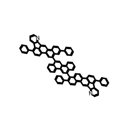 c1ccc(-c2ccc3c(c2)c(-c2cc4c5ccccc5c(-c5c(-c6ccccc6)ccc6c5ccc5c7ccc(-c8ccccc8)c8c7c(cc65)-c5ncccc5-8)cc4c4ccccc24)cc2c4ccc(-c5ccccc5)c5c4c(cc32)-c2ncccc2-5)cc1